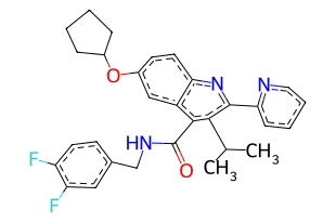 CC(C)c1c(-c2ccccn2)nc2ccc(OC3CCCC3)cc2c1C(=O)NCc1ccc(F)c(F)c1